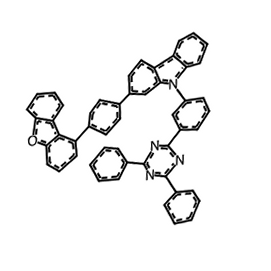 c1ccc(-c2nc(-c3ccccc3)nc(-c3cccc(-n4c5ccccc5c5ccc(-c6ccc(-c7cccc8oc9ccccc9c78)cc6)cc54)c3)n2)cc1